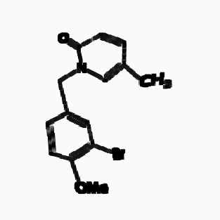 COc1ccc(Cn2cc(C)ccc2=O)cc1Br